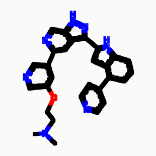 CN(C)CCOc1cncc(-c2cc3c(-c4cc5c(-c6ccncc6)cccc5[nH]4)n[nH]c3cn2)c1